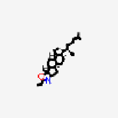 C#C[C@H](CCC=C(C)C)[C@H]1CCC2[C@@H]3CC[C@H]4C(C)(C)[C@@H](N(C)C(=O)C=C)CC[C@]4(C)C3CC[C@@]21C